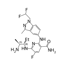 CC[C@@H](Nc1nc(Nc2ccc3c(c2)c(C)nn3CC(F)F)c(C(N)=O)cc1F)[C@H](C)N